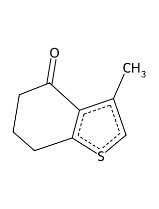 Cc1csc2c1C(=O)CCC2